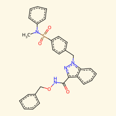 CN(c1ccccc1)S(=O)(=O)c1ccc(Cn2nc(C(=O)NOCc3ccccc3)c3ccccc32)cc1